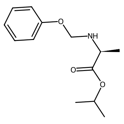 CC(C)OC(=O)[C@H](C)NCOc1ccccc1